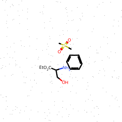 CCOC(=O)C(N)CO.CS(C)(=O)=O.c1ccccc1